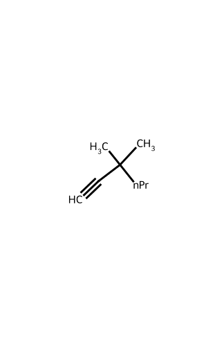 C#CC(C)(C)CC[CH2]